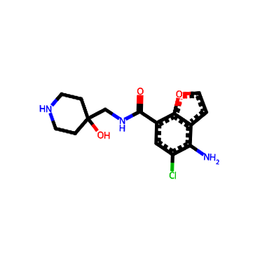 Nc1c(Cl)cc(C(=O)NCC2(O)CCNCC2)c2occc12